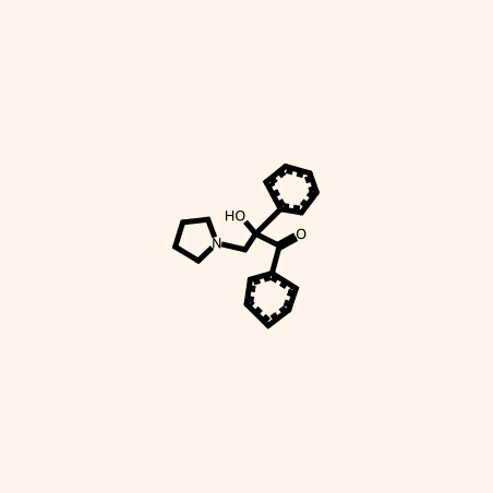 O=C(c1ccccc1)C(O)(CN1CCCC1)c1ccccc1